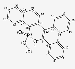 CCOP1(=O)OC(c2ccccc2)=C(c2ccccc2)c2ccc3ccccc3c21